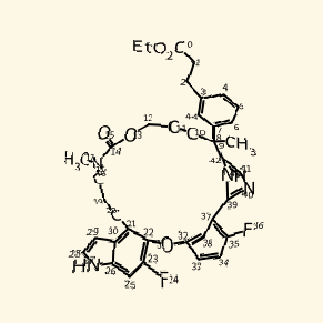 CCOC(=O)CCc1cccc(C2(C)CCCOC(=O)N(C)CCCc3c(c(F)cc4[nH]ccc34)Oc3ccc(F)c(c3)-c3ncc2[nH]3)c1